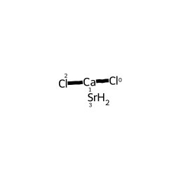 [Cl][Ca][Cl].[SrH2]